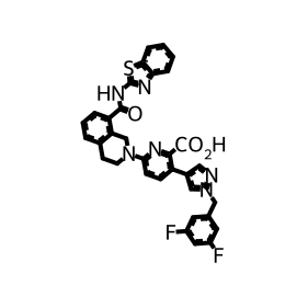 O=C(Nc1nc2ccccc2s1)c1cccc2c1CN(c1ccc(-c3cnn(Cc4cc(F)cc(F)c4)c3)c(C(=O)O)n1)CC2